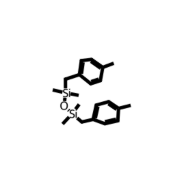 Cc1ccc(C[Si](C)(C)O[Si](C)(C)Cc2ccc(C)cc2)cc1